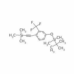 CC(C)(C)[Si](C)(C)Oc1ccc(C#C[Si](C)(C)C)c(C(F)(F)F)c1